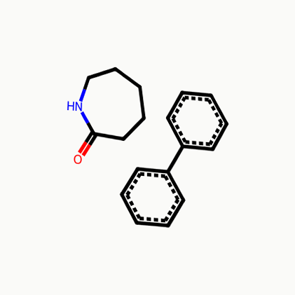 O=C1CCCCCN1.c1ccc(-c2ccccc2)cc1